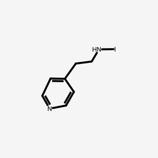 INCCc1ccncc1